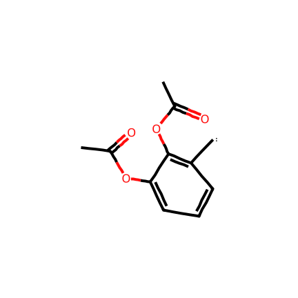 [CH]c1cccc(OC(C)=O)c1OC(C)=O